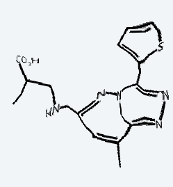 Cc1cc(NCC(C)C(=O)O)nn2c(-c3cccs3)nnc12